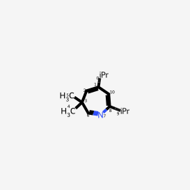 CC(C)C1=CC(C)(C)C=NC(C(C)C)=C1